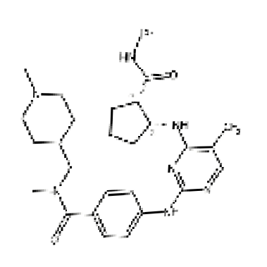 CC(C)NC(=O)[C@H]1CCC[C@H]1Nc1nc(Nc2ccc(C(=O)N(C)CC3CCN(C)CC3)cc2)ncc1C(F)(F)F